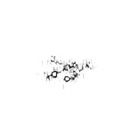 Cc1ccc(S(=O)(=O)N[C@@H](CCCNC(=N)N)C(=O)NC(C(=O)N[C@@H](CCCNC(=N)N)C(=O)NCc2ccc(C(=N)N)cc2)C(C)C)cc1